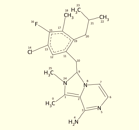 CC1=C2C(N)=NC=CN2C(Cc2cc(Cl)c(F)c(C)c2CC(C)C)N1C